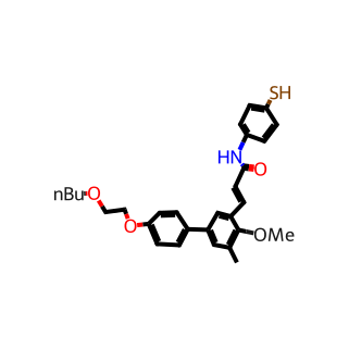 CCCCOCCOc1ccc(-c2cc(C)c(OC)c(/C=C/C(=O)Nc3ccc(S)cc3)c2)cc1